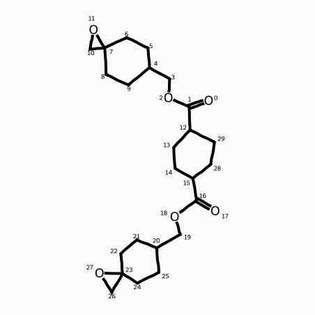 O=C(OCC1CCC2(CC1)CO2)C1CCC(C(=O)OCC2CCC3(CC2)CO3)CC1